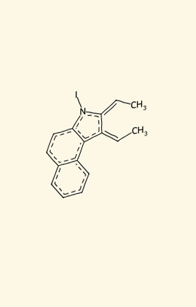 C/C=c1\c(=C/C)n(I)c2ccc3ccccc3c12